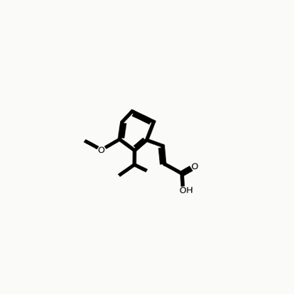 COc1cccc(C=CC(=O)O)c1C(C)C